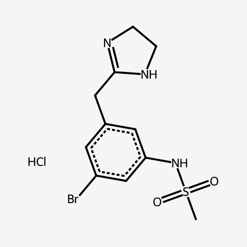 CS(=O)(=O)Nc1cc(Br)cc(CC2=NCCN2)c1.Cl